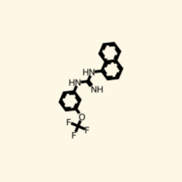 N=C(Nc1cccc(OC(F)(F)F)c1)Nc1cccc2ccccc12